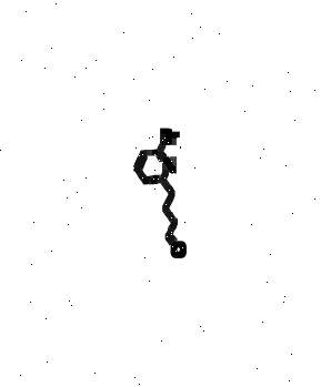 O=CCCCc1cccc(Br)n1